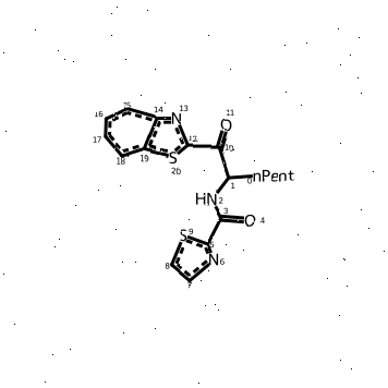 CCCCCC(NC(=O)c1nccs1)C(=O)c1nc2ccccc2s1